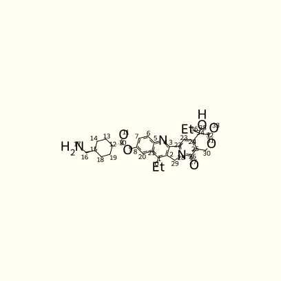 CCc1c2c(nc3ccc(OC(=O)[C@H]4CC[C@H](CN)CC4)cc13)-c1cc3c(c(=O)n1C2)COC(=O)[C@]3(O)CC